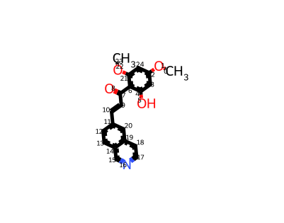 COc1cc(O)c(C(=O)C=Cc2ccc3cnccc3c2)c(OC)c1